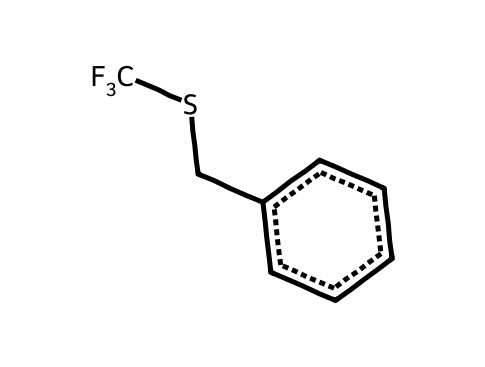 FC(F)(F)SCc1ccccc1